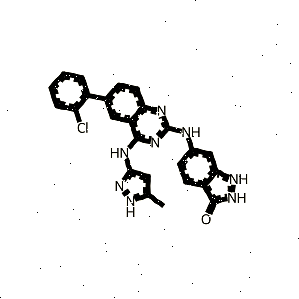 Cc1cc(Nc2nc(Nc3ccc4c(=O)[nH][nH]c4c3)nc3ccc(-c4ccccc4Cl)cc23)n[nH]1